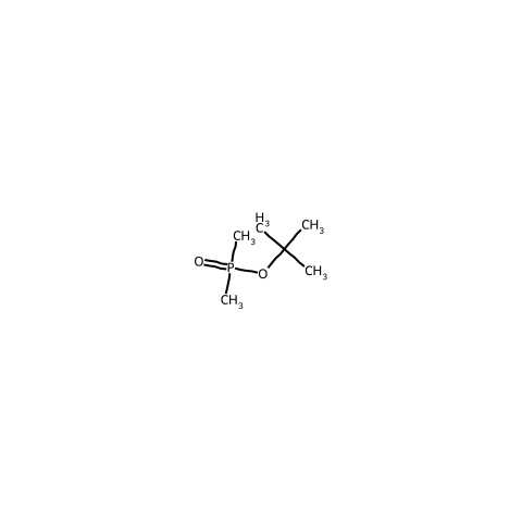 CC(C)(C)OP(C)(C)=O